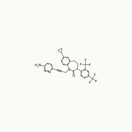 Nc1ccc(C#CCN2C(=O)C(c3ccc(C(F)(F)F)cc3C(F)(F)F)CCc3cc(C4CC4)ccc32)nn1